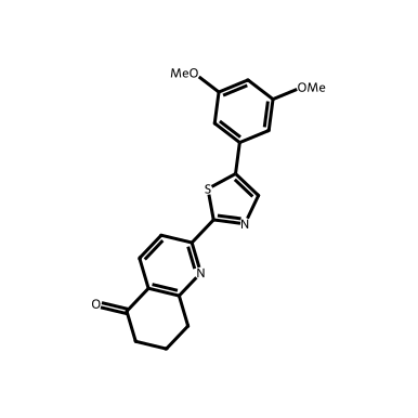 COc1cc(OC)cc(-c2cnc(-c3ccc4c(n3)CCCC4=O)s2)c1